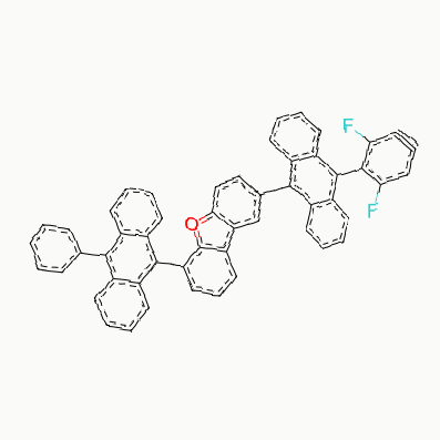 Fc1c#ccc(F)c1-c1c2ccccc2c(-c2ccc3oc4c(-c5c6ccccc6c(-c6ccccc6)c6ccccc56)cccc4c3c2)c2ccccc12